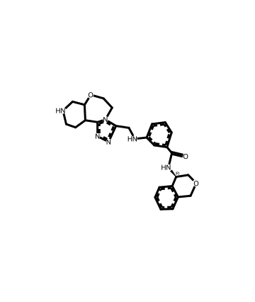 O=C(N[C@H]1COCc2ccccc21)c1cccc(NCc2nnc3n2CCOC2CNCCC32)c1